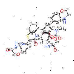 Cn1c(=O)oc2cc(-c3[c]ccc4c3N(c3ccc5c(c3)NC(=O)CO5)C(=O)C(c3ccc5c(n3)NC(=O)CO5)S4)cc(-c3ccc4c(c3)NCCO4)c21